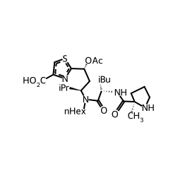 CCCCCCN(C(=O)[C@@H](NC(=O)[C@@]1(C)CCCN1)[C@@H](C)CC)[C@H](C[C@@H](OC(C)=O)c1nc(C(=O)O)cs1)C(C)C